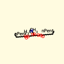 CCCCC/C=C\C/C=C\CCCCCCCCCC(=O)COCCOCCCC(CCC/C=C/COCC(=O)OCCCCCCCC/C=C\C/C=C\CCCCC)OC(=O)CCCN(C)C